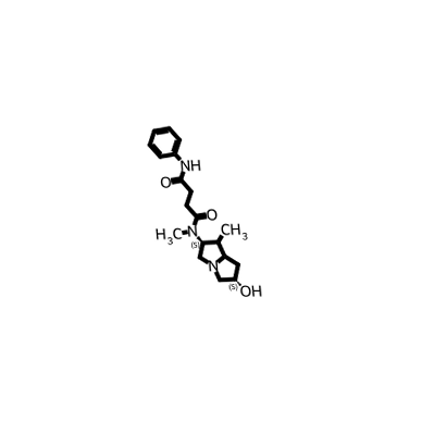 CC1C2C[C@H](O)CN2C[C@H]1N(C)C(=O)CCC(=O)Nc1ccccc1